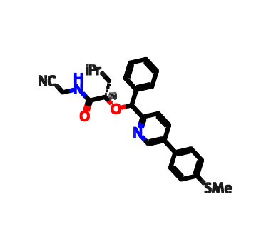 CSc1ccc(-c2ccc(C(O[C@@H](CC(C)C)C(=O)NCC#N)c3ccccc3)nc2)cc1